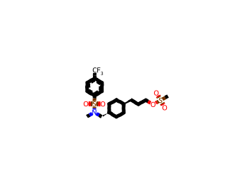 CN(C[C@H]1CC[C@H](CCCOS(C)(=O)=O)CC1)S(=O)(=O)c1ccc(C(F)(F)F)cc1